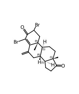 C=C1C[C@@H]2[C@H](CC[C@]3(C)C(=O)CC[C@@H]23)[C@@]2(C)CC(Br)C(=O)C(Br)=C12